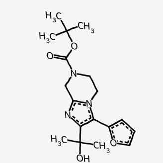 CC(C)(C)OC(=O)N1CCn2c(nc(C(C)(C)O)c2-c2ccco2)C1